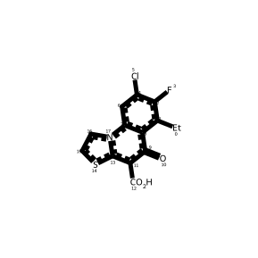 CCc1c(F)c(Cl)cc2c1c(=O)c(C(=O)O)c1sccn12